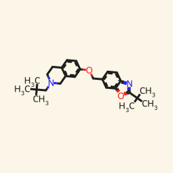 CC(C)(C)CN1CCc2ccc(OCc3ccc4nc(C(C)(C)C)oc4c3)cc2C1